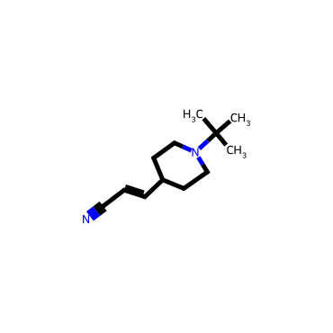 CC(C)(C)N1CCC(C=CC#N)CC1